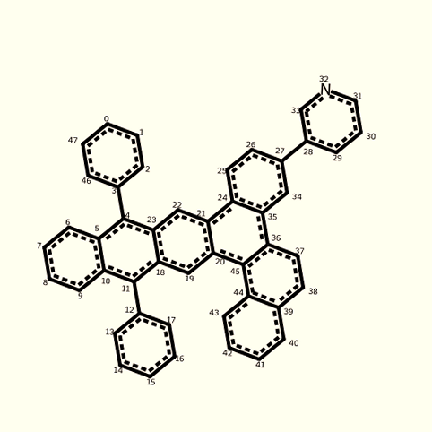 c1ccc(-c2c3ccccc3c(-c3ccccc3)c3cc4c(cc23)c2ccc(-c3cccnc3)cc2c2ccc3ccccc3c24)cc1